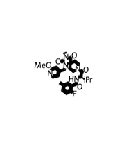 COc1cc(CN2C(=O)N(C)C(=O)C23CCN(C(=O)[C@H](NC(=O)c2cc(C)ccc2F)C(C)C)CC3)ccn1